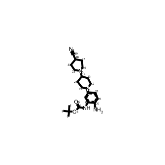 CC(C)(C)OC(=O)Nc1cc(N2CCC(N3CCC(C#N)CC3)CC2)ccc1N